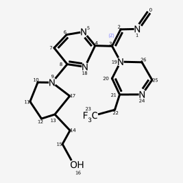 C=N/C=C(/c1nccc(N2CCCC(CCO)C2)n1)N1C=C(CC(F)(F)F)N=CC1